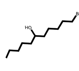 CCCCCC(O)CCCCCBr